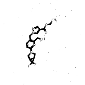 CCOC(=O)c1cnn(Cc2ccc(N3CC4C(C3)C4(F)F)nc2CO)c1